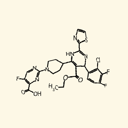 CCOC(=O)C1=C(C2CCN(c3ncc(F)c(C(=O)O)n3)CC2)NC(c2nccs2)=NC1c1ccc(F)c(F)c1Cl